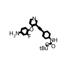 CC(C)(C)OC(=O)NC1CC=C(C#Cc2cnccc2Oc2ccc(N)cc2F)CC1